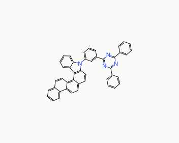 c1ccc(-c2nc(-c3ccccc3)nc(-c3cccc(-n4c5ccccc5c5c6c(ccc7c8ccccc8ccc76)ccc54)c3)n2)cc1